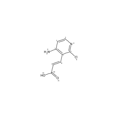 Nc1ccnc(Cl)c1C=CC(=O)O